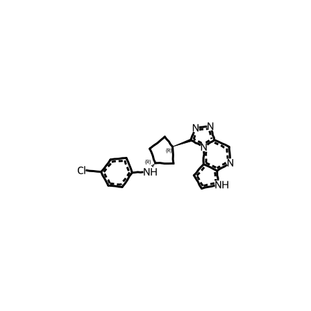 Clc1ccc(N[C@@H]2CC[C@@H](c3nnc4cnc5[nH]ccc5n34)C2)cc1